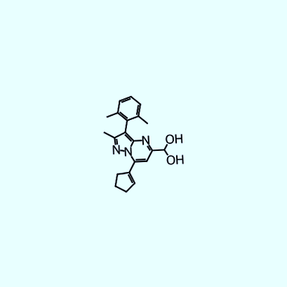 Cc1cccc(C)c1-c1c(C)nn2c(C3=CCCC3)cc(C(O)O)nc12